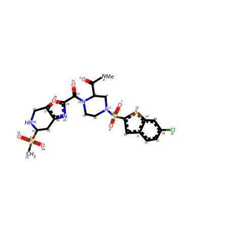 CNC(=O)C1CN(S(=O)(=O)c2cc3ccc(Cl)cc3s2)CCN1C(=O)c1nc2c(o1)CNC(S(C)(=O)=O)C2